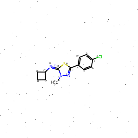 Cn1nc(-c2ccc(Cl)cc2)s/c1=N/C1CCC1